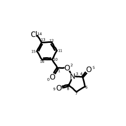 O=C(ON1C(=O)CCC1=O)c1ccc(Cl)cc1